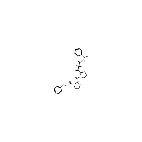 CC(NC(=O)C(F)(F)C(=O)C1CCCN1C(=O)[C@H]1CCCN1C(=O)OCc1ccccc1)c1ccccc1